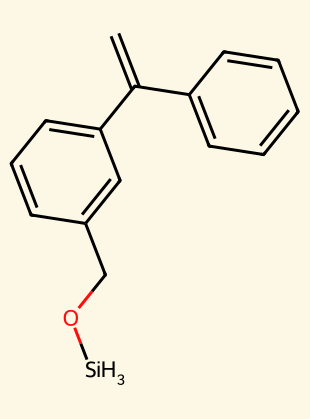 C=C(c1ccccc1)c1cccc(CO[SiH3])c1